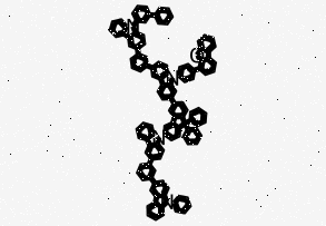 c1ccc(-c2cccc(-n3c4ccccc4c4cc(-c5cccc(-c6ccc7c(c6)c6ccc(-c8ccc9c(c8)-c8cc(-n%10c%11ccccc%11c%11cc(-c%12cccc(-c%13ccc%14c(c%13)c%13ccccc%13n%14-c%13ccccc%13)c%12)ccc%11%10)ccc8C9(c8ccccc8)c8ccccc8)cc6n7-c6ccc(-c7cccc8c7oc7ccccc78)cc6)c5)ccc43)c2)cc1